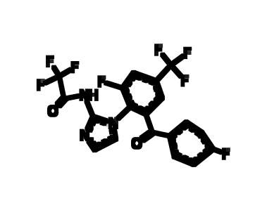 O=C(c1ccc(F)cc1)c1cc(C(F)(F)F)cc(F)c1-n1ccnc1NC(=O)C(F)(F)F